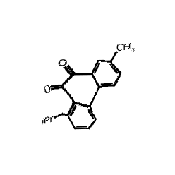 Cc1ccc2c(c1)C(=O)C(=O)c1c-2cccc1C(C)C